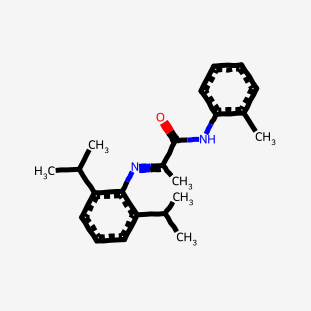 CC(=Nc1c(C(C)C)cccc1C(C)C)C(=O)Nc1ccccc1C